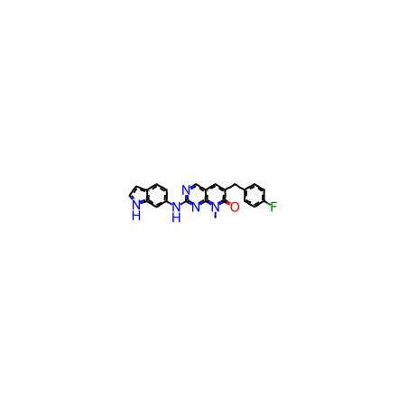 Cn1c(=O)c(Cc2ccc(F)cc2)cc2cnc(Nc3ccc4cc[nH]c4c3)nc21